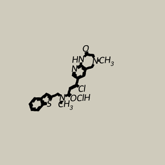 CN1CC(=O)Nc2ncc(C(Cl)=CC(=O)N(C)Cc3cc4ccccc4s3)cc2C1.Cl